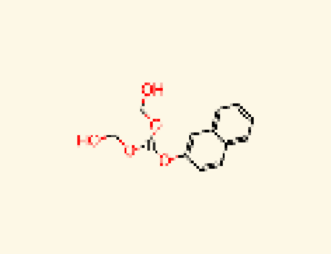 OC[O][Ti]([O]CO)[O]c1ccc2ccccc2c1